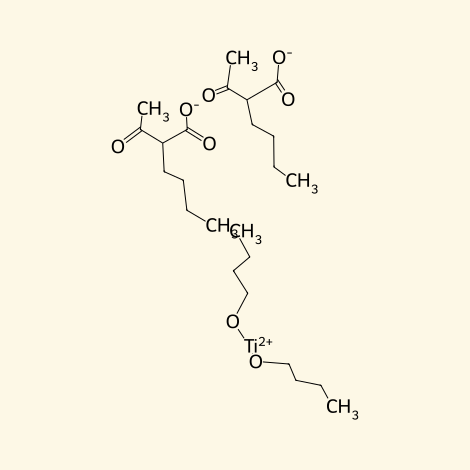 CCCCC(C(C)=O)C(=O)[O-].CCCCC(C(C)=O)C(=O)[O-].CCCC[O][Ti+2][O]CCCC